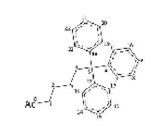 [CH]C(=O)CCCCC(c1ccccc1)(c1ccccc1)c1ccccc1